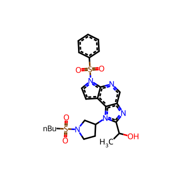 CCCCS(=O)(=O)N1CCC(n2c(C(C)O)nc3cnc4c(ccn4S(=O)(=O)c4ccccc4)c32)C1